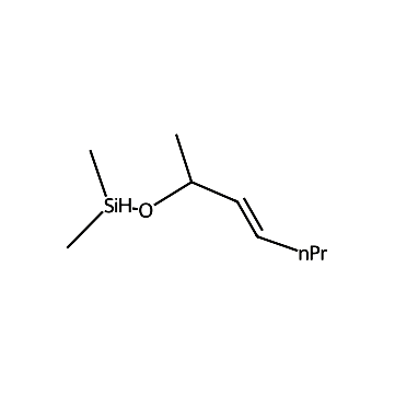 CCCC=CC(C)O[SiH](C)C